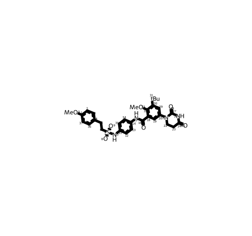 COc1ccc(CCS(=O)(=O)Nc2ccc(NC(=O)c3cc(N4CCC(=O)NC4=O)cc(C(C)(C)C)c3OC)cc2)cc1